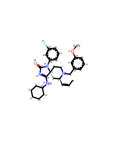 C/C=C\[C@H]1C[C@]2(CCN1Cc1cccc(OC(C)C)c1)C(NC1CCCCC1)=NC(=O)N2c1cccc(F)c1